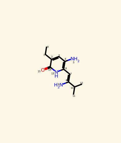 CCc1cc(N)c(/C=C(\N)C(C)C)[nH]c1=O